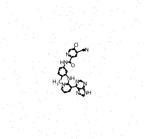 Cc1ccc(NC(=O)c2cc(C#N)c(Cl)cn2)cc1Nc1ncccc1-c1ncnc2[nH]cnc12